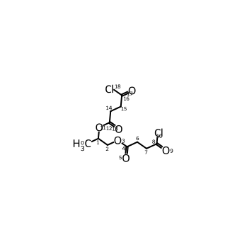 CC(COC(=O)CCC(=O)Cl)OC(=O)CCC(=O)Cl